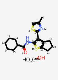 Cc1csc(-c2c(NC(=O)C3CCCCC3)sc3c2CCC3)n1.O=C(O)O